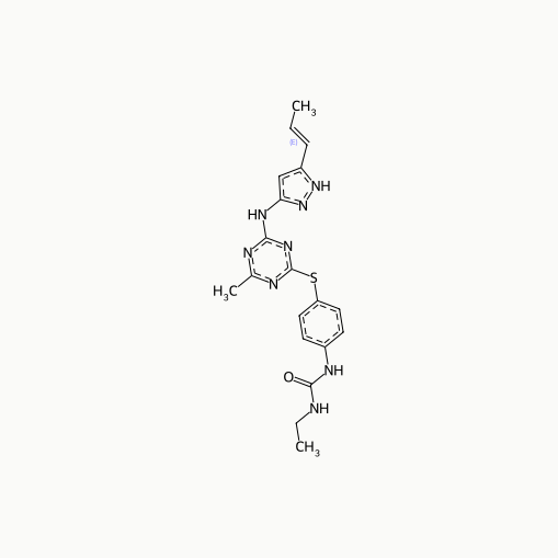 C/C=C/c1cc(Nc2nc(C)nc(Sc3ccc(NC(=O)NCC)cc3)n2)n[nH]1